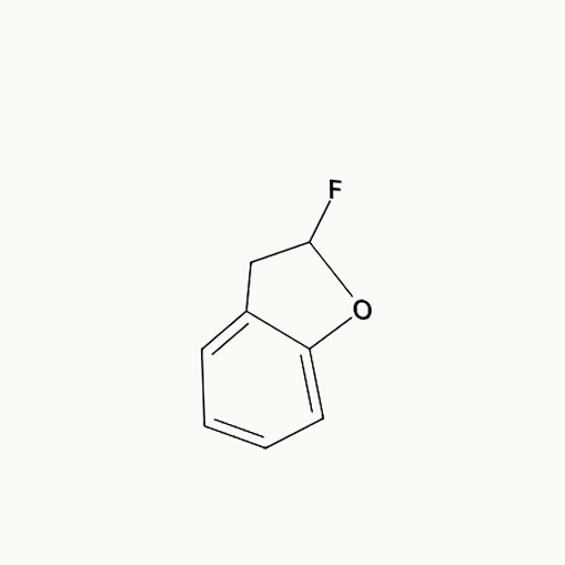 FC1Cc2ccccc2O1